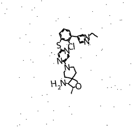 CCn1cc(-c2cccc(Sc3cnc(N4CCC5(CC4)CO[C@@H](C)[C@H]5N)cn3)c2Cl)cn1